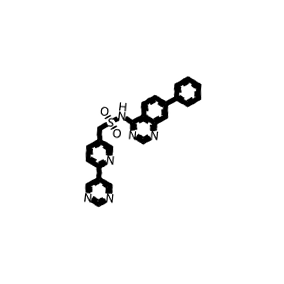 O=S(=O)(Cc1ccc(-c2cncnc2)nc1)Nc1ncnc2cc(-c3ccccc3)ccc12